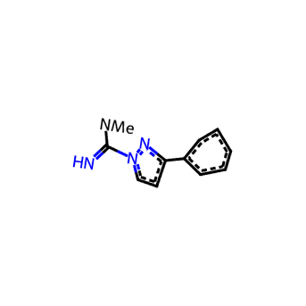 CNC(=N)n1ccc(-c2ccccc2)n1